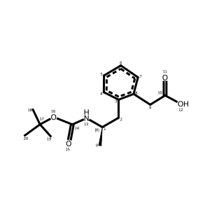 C[C@H](Cc1ccccc1CC(=O)O)NC(=O)OC(C)(C)C